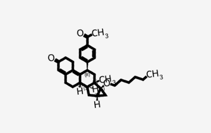 CCCCCCO[C@@]12C[C@@H]1C[C@H]1[C@@H]3CCC4=CC(=O)CCC4=C3[C@@H](c3ccc(C(C)=O)cc3)C[C@@]12C